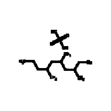 CCCC(C)CC(C)CC(C)[CH2][Na].O=S(=O)(O)O